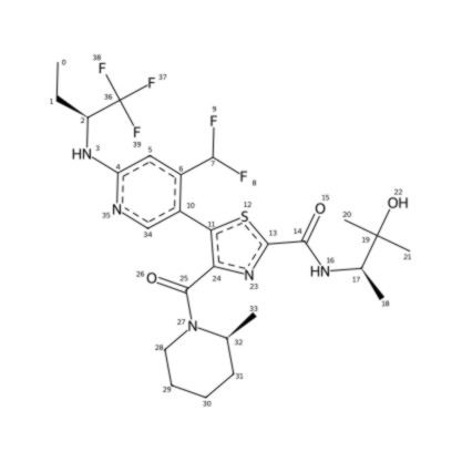 CC[C@H](Nc1cc(C(F)F)c(-c2sc(C(=O)N[C@H](C)C(C)(C)O)nc2C(=O)N2CCCC[C@@H]2C)cn1)C(F)(F)F